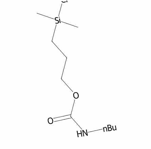 CCCCNC(=O)OCCC[Si](C)(C)Cl